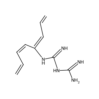 C=C/C=C\C(=C/C=C)NC(=N)NC(=N)N